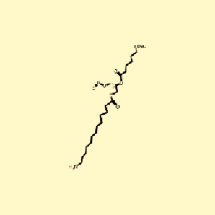 CCCCCCCCCCCCCCCC(=O)O[C@@H](COP=O)COC(=O)CCCCCCCCCCCCN